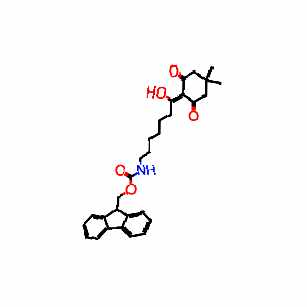 CC1(C)CC(=O)C(=C(O)CCCCCCNC(=O)OCC2c3ccccc3-c3ccccc32)C(=O)C1